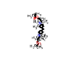 C=C(C)C(=O)OCCC(C)(C)/C(C)=N/C1CCC(CC2CCC(/N=C(\C)C(C)(C)CCOC(=O)C(=C)C)C(C)C2)CC1C